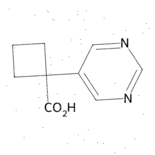 O=C(O)C1(c2cncnc2)CCC1